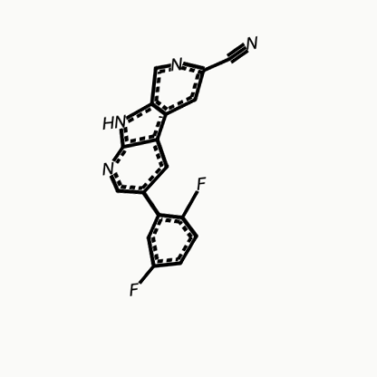 N#Cc1cc2c(cn1)[nH]c1ncc(-c3cc(F)ccc3F)cc12